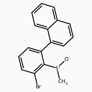 C[S+]([O-])c1c(Br)cccc1-c1cccc2ccccc12